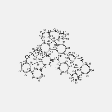 c1ccc2c(c#1)-c1cc(N(c3ccc4c(c3)C3(c5ccccc5Sc5ccccc53)c3ccccc3-4)c3cccc4c3-c3ccccc3C43c4ccccc4Sc4ccccc43)ccc1C21c2ccccc2Oc2ccccc21